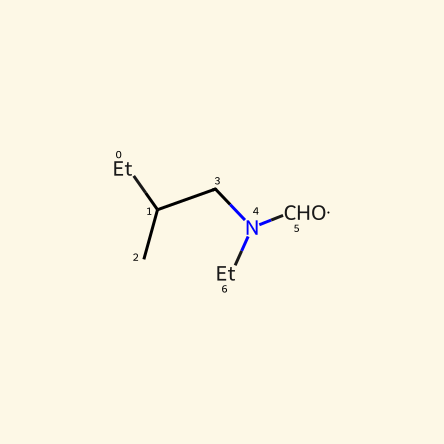 CCC(C)CN([C]=O)CC